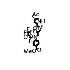 COC(=O)c1ccc(NCC(=O)CN(C)C(=O)C2CC(SC(C)=O)CN2)cc1.O=C(O)C(F)(F)F